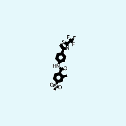 Cc1cc(S(C)(=O)=O)ccc1C(=O)Nc1ccc(-c2csc(C(F)(F)F)n2)cc1